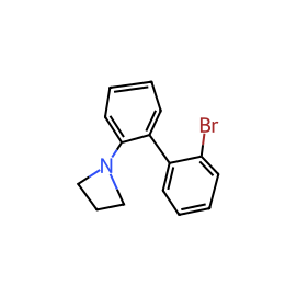 Brc1ccccc1-c1ccccc1N1CCC1